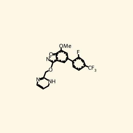 COc1cc(-c2ccc(C(F)(F)F)cc2F)cc2c(OCC3=NC=CCN3)noc12